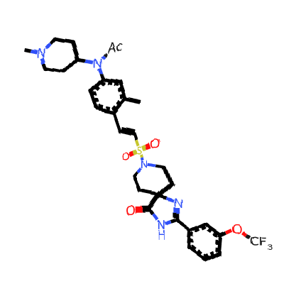 CC(=O)N(c1ccc(C=CS(=O)(=O)N2CCC3(CC2)N=C(c2cccc(OC(F)(F)F)c2)NC3=O)c(C)c1)C1CCN(C)CC1